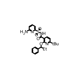 CCC(Oc1nc(C(C)(C)C)ccc1C(=O)NS(=O)(=O)c1cccc(N)n1)c1ccccc1